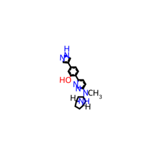 CN(c1ccc(-c2ccc(-c3cn[nH]c3)cc2O)nn1)[C@H]1C[C@H]2CC[C@@H](C1)N2